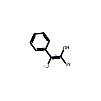 CC(C)/C(O)=C(\O)c1ccccc1